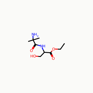 CCOC(=O)C(CO)NC(=O)C(C)(C)N